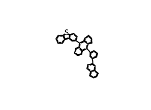 c1cc(-c2ccc3ccccc3c2)cc(-c2c3ccccc3c(-c3ccc4sc5ccccc5c4c3)c3ccccc23)c1